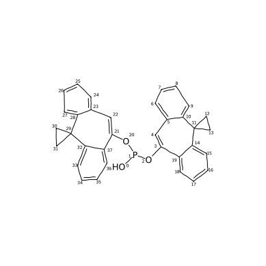 OP(OC1=Cc2ccccc2C2(CC2)c2ccccc21)OC1=Cc2ccccc2C2(CC2)c2ccccc21